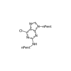 CCCCCNc1nc(Cl)c2ncn(CCCCC)c2n1